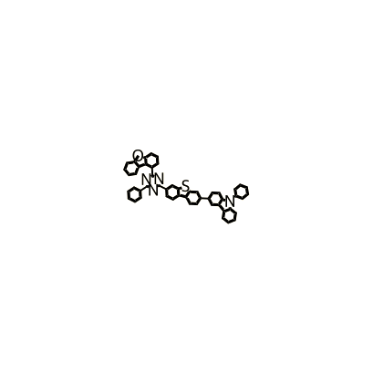 c1ccc(-c2nc(-c3ccc4c(c3)sc3cc(-c5ccc6c(c5)c5ccccc5n6-c5ccccc5)ccc34)nc(-c3cccc4oc5ccccc5c34)n2)cc1